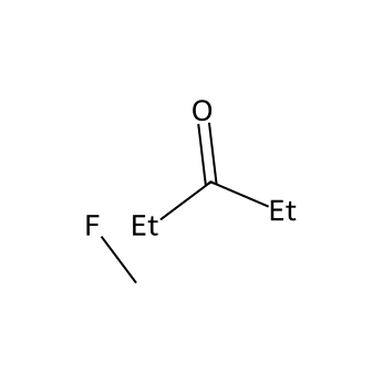 CCC(=O)CC.CF